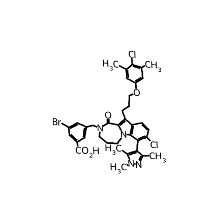 Cc1cc(OCCCc2c3n(c4c(-c5c(C)nn(C)c5C)c(Cl)ccc24)CCCN(Cc2cc(Br)cc(C(=O)O)c2)C3=O)cc(C)c1Cl